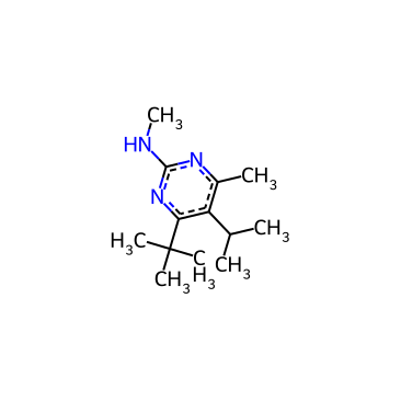 CNc1nc(C)c(C(C)C)c(C(C)(C)C)n1